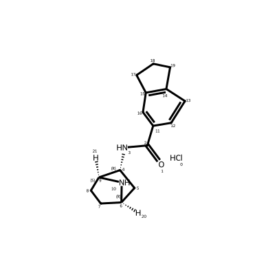 Cl.O=C(N[C@@H]1C[C@H]2CC[C@@H]1N2)c1ccc2c(c1)CCC2